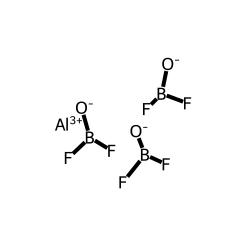 [Al+3].[O-]B(F)F.[O-]B(F)F.[O-]B(F)F